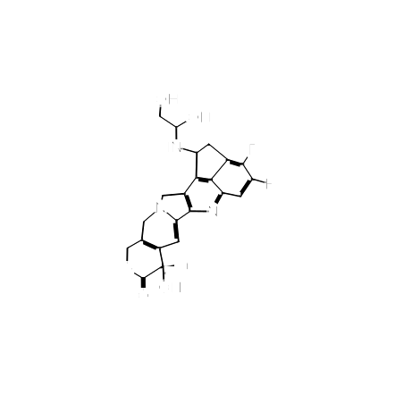 CC[C@@]1(O)C(=O)OCC2=C1C=C1c3nc4cc(F)c(F)c5c4c(c3CN1C2)C(NC(O)CO)C5